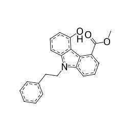 COC(=O)c1cccc2c1c1c(O)cccc1n2CCc1ccccc1